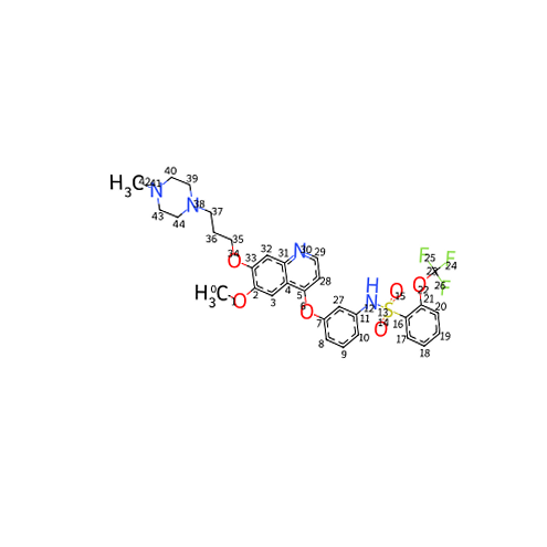 COc1cc2c(Oc3cccc(NS(=O)(=O)c4ccccc4OC(F)(F)F)c3)ccnc2cc1OCCCN1CCN(C)CC1